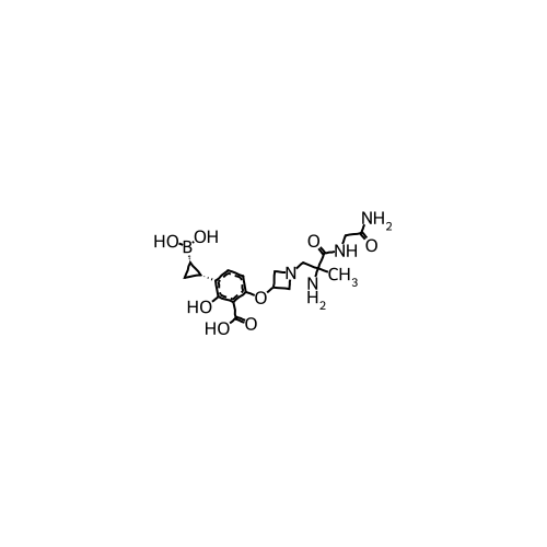 CC(N)(CN1CC(Oc2ccc([C@@H]3C[C@@H]3B(O)O)c(O)c2C(=O)O)C1)C(=O)NCC(N)=O